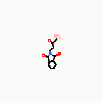 BCC(=O)CCN1C(=O)c2ccccc2C1=O